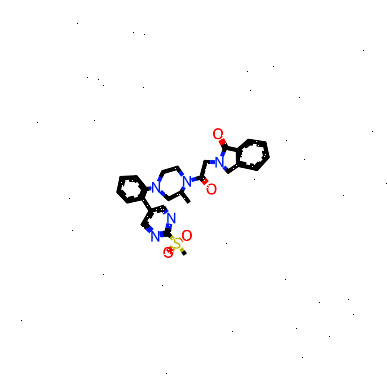 CC1CN(c2ccccc2-c2cnc(S(C)(=O)=O)nc2)CCN1C(=O)CN1Cc2ccccc2C1=O